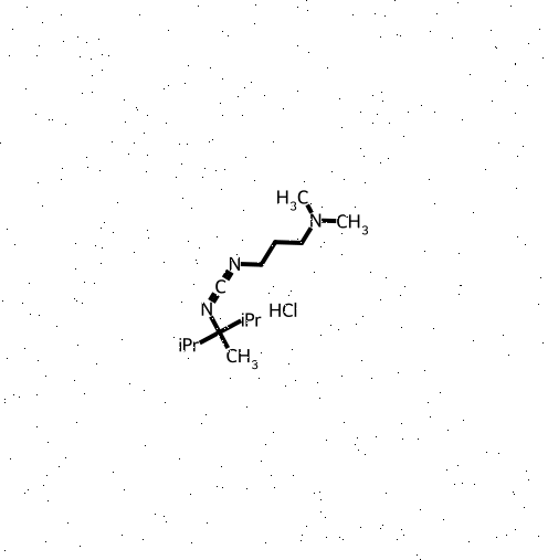 CC(C)C(C)(N=C=NCCCN(C)C)C(C)C.Cl